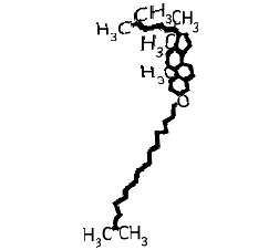 CC(C)CCCCCCCCCCCCCCCOC1CC[C@@]2(C)C(=CCC3C2CC[C@@]2(C)C3CC[C@@H]2[C@H](C)CCCC(C)C)C1